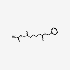 O=C(O)CNC(=O)CCCCC(=O)OCc1ccccc1